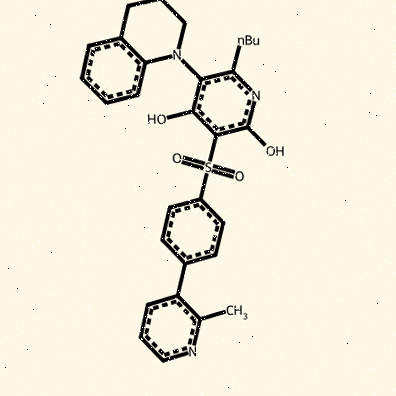 CCCCc1nc(O)c(S(=O)(=O)c2ccc(-c3cccnc3C)cc2)c(O)c1N1CCCc2ccccc21